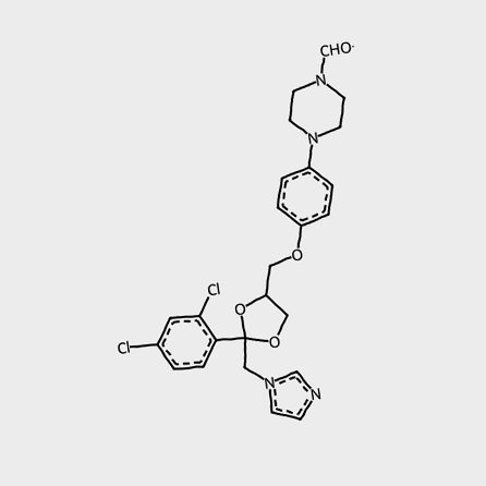 O=[C]N1CCN(c2ccc(OCC3COC(Cn4ccnc4)(c4ccc(Cl)cc4Cl)O3)cc2)CC1